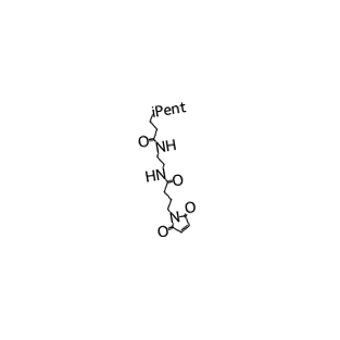 CCCC(C)CCC(=O)NCCNC(=O)CCCN1C(=O)C=CC1=O